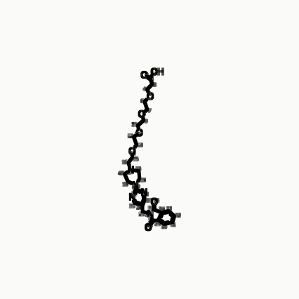 O=C(O)CCOCCOCCOCCOCCN1CCN(c2ncc(CN3C(=O)c4ccccc4C3=O)cn2)CC1